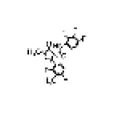 Cc1c(F)ccc([C@H]2CN(C)C(=O)[C@@H]2C(=O)Nc2ccc(F)c(F)c2F)c1F